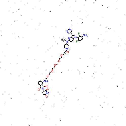 CN(c1ccc2c(n1)c(-c1cncnc1)cn2-c1c(F)ccc(N)c1F)C1CCN(C(=O)CCOCCOCCOCCOCCOCCNc2cccc3c2C(=O)N(C2CCC(=O)NC2=O)C3=O)CC1